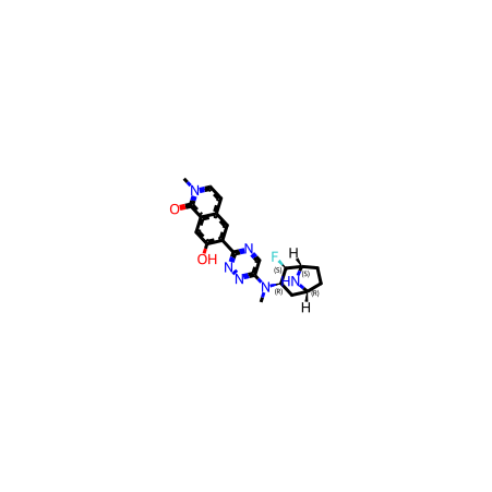 CN(c1cnc(-c2cc3ccn(C)c(=O)c3cc2O)nn1)[C@@H]1C[C@H]2CC[C@H](N2)[C@@H]1F